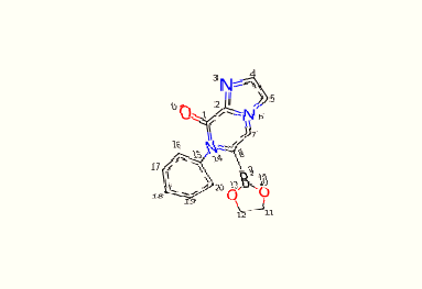 O=c1c2nccn2cc(B2OCCO2)n1-c1ccccc1